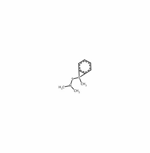 CN(C)SS1(C)c2ccccc21